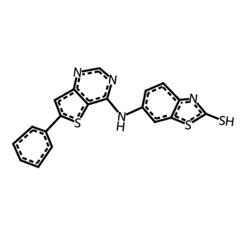 Sc1nc2ccc(Nc3ncnc4cc(-c5ccccc5)sc34)cc2s1